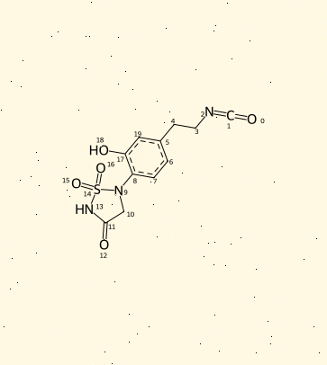 O=C=NCCc1ccc(N2CC(=O)NS2(=O)=O)c(O)c1